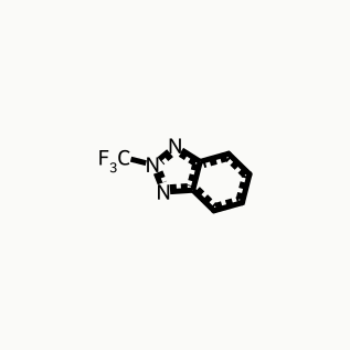 FC(F)(F)n1nc2ccccc2n1